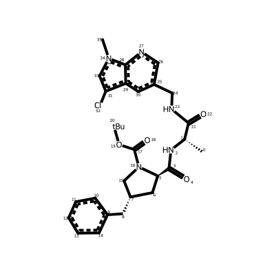 C[C@H](NC(=O)[C@H]1C[C@H](Cc2ccccc2)CN1C(=O)OC(C)(C)C)C(=O)NCc1cnc2c(c1)c(Cl)cn2C